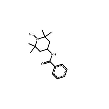 CC1(C)CC(NC(=O)c2ccccc2)CC(C)(C)N1C#N